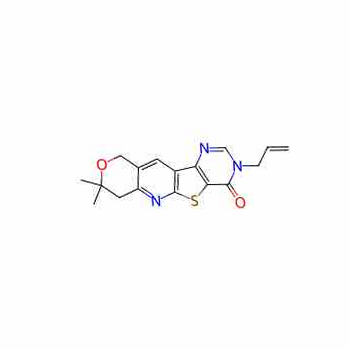 C=CCn1cnc2c(sc3nc4c(cc32)COC(C)(C)C4)c1=O